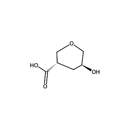 O=C(O)[C@@H]1COC[C@@H](O)C1